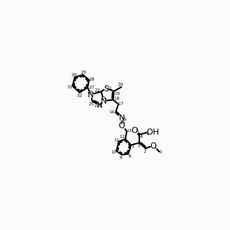 COC=C(C(=O)O)c1ccccc1CON=CCC1=C(C)SC2N1N=CN2c1ccccc1